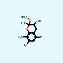 COC1Cc2c(C)cc(C)c(C)c2OC1(C)OC(=O)O